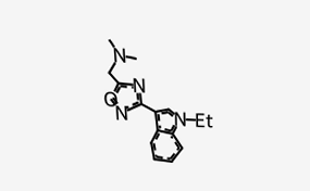 CCn1cc(-c2noc(CN(C)C)n2)c2ccccc21